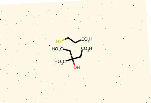 O=C(O)CC(O)(CC(=O)O)C(=O)O.O=C(O)CCS